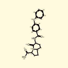 O=C(NC1CCC2CCC(C(=O)O)N2C1=O)c1ccc(Oc2ccccc2)cc1